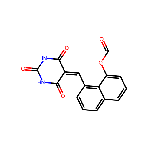 O=COc1cccc2cccc(C=C3C(=O)NC(=O)NC3=O)c12